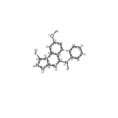 COc1ccc2c(N(C)c3ccccc3)nc3nnc(F)n3c2c1